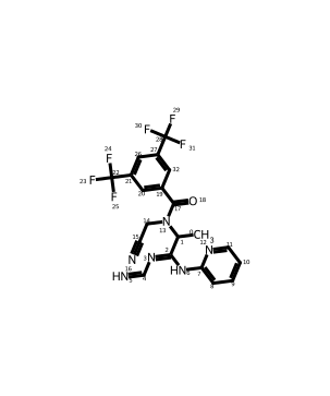 CC(/C(=N/C=N)Nc1ccccn1)N(CC#N)C(=O)c1cc(C(F)(F)F)cc(C(F)(F)F)c1